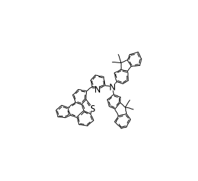 CC1(C)c2ccccc2-c2ccc(N(c3ccc4c(c3)C(C)(C)c3ccccc3-4)c3cccc(-c4ccc5c6ccccc6c6cccc7sc4c5c76)n3)cc21